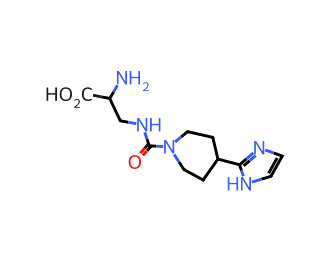 NC(CNC(=O)N1CCC(c2ncc[nH]2)CC1)C(=O)O